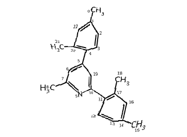 Cc1ccc(-c2cc(C)nc(-c3ccc(C)cc3C)c2)c(C)c1